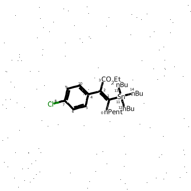 CCCCC/[C](=C(/C(=O)OCC)c1ccc(Cl)cc1)[Sn]([CH2]CCC)([CH2]CCC)[CH2]CCC